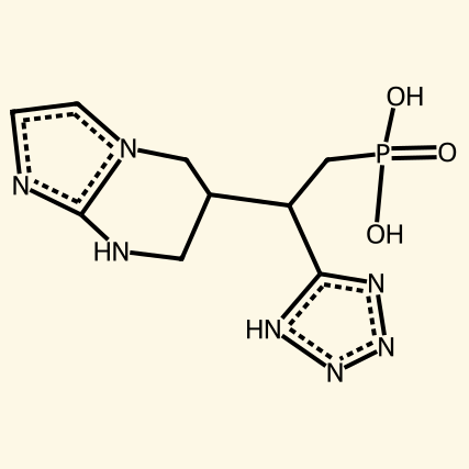 O=P(O)(O)CC(c1nnn[nH]1)C1CNc2nccn2C1